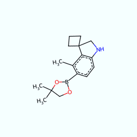 Cc1c(B2OCC(C)(C)O2)ccc2c1C1(CCC1)CN2